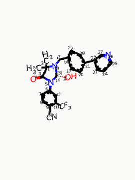 CC1(C)C(=O)N(c2ccc(C#N)c(C(F)(F)F)c2)[C@@H](O)N1Cc1ccc(-c2cccnc2)cc1